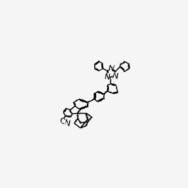 N#Cc1ccc2c(c1)C1(c3cc(-c4ccc(-c5cccc(-c6nc(-c7ccccc7)nc(-c7ccccc7)n6)c5)cc4)ccc3-2)C2CC3CC(C2)CC1C3